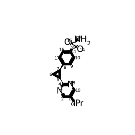 CC(C)c1cnc([C@@H]2C[C@H]2c2ccc(S(N)(=O)=O)cc2)nc1